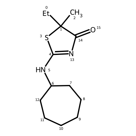 CCC1(C)SC(NC2CCCCCC2)=NC1=O